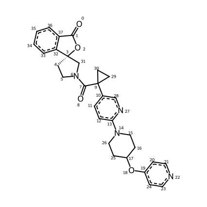 O=C1O[C@]2(CCN(C(=O)C3(c4ccc(N5CCC(Oc6ccncc6)CC5)nc4)CC3)C2)c2ccccc21